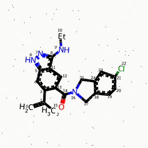 C=C(C)c1cc2[nH]nc(NCC)c2cc1C(=O)N1Cc2ccc(Cl)cc2C1